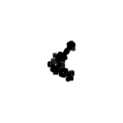 CC(C)C(=O)N1CCC(n2ncc(Cl)c2C(=O)Nc2ncc(C#Cc3cccs3)cc2F)CC1